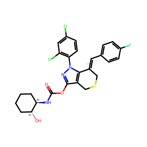 O=C(N[C@@H]1CCCC[C@H]1O)Oc1nn(-c2ccc(Cl)cc2Cl)c2c1CSC/C2=C\c1ccc(F)cc1